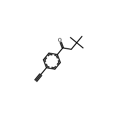 C#Cc1ccc(C(=O)CC(C)(C)C)cc1